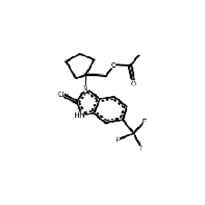 CC(=O)OCC1(n2c(=O)[nH]c3cc(C(F)(F)F)ccc32)CCCC1